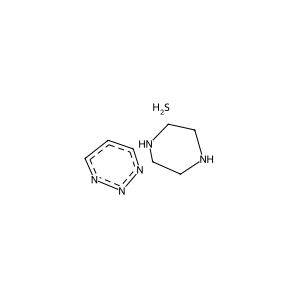 C1CNCCN1.S.c1cnnnc1